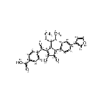 CCC(CC)C1C(C(=O)c2ccc(C(=O)O)cc2)=C(O)C(=O)N1c1ccc(-c2ccon2)cc1